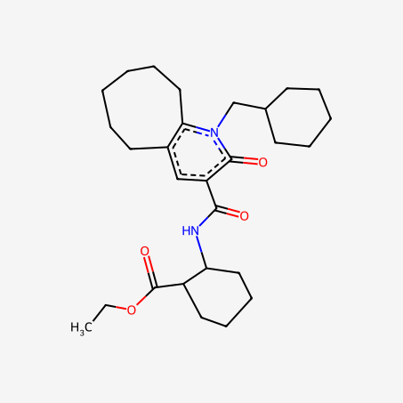 CCOC(=O)C1CCCCC1NC(=O)c1cc2c(n(CC3CCCCC3)c1=O)CCCCCC2